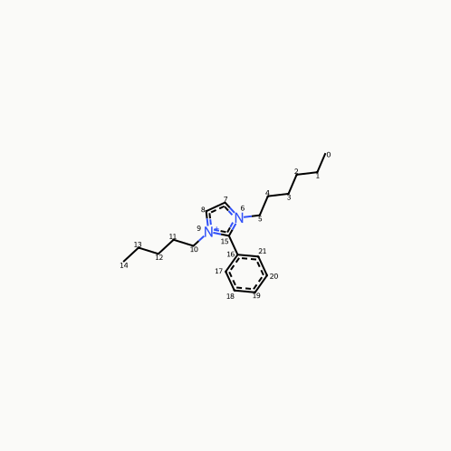 CCCCCCn1cc[n+](CCCCC)c1-c1ccccc1